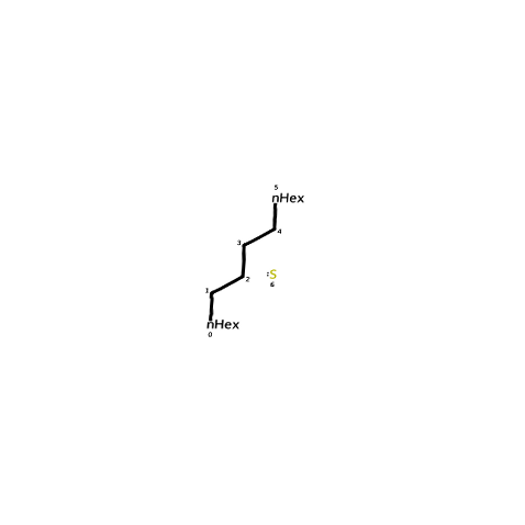 CCCCCCCCCCCCCCCC.[S]